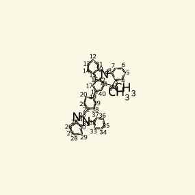 CC1(C)c2ccccc2-n2c3ccccc3c3cc(-c4ccc(-c5nc6ccccc6n5-c5ccccc5)cc4)cc1c32